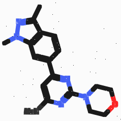 CNc1cc(-c2ccc3c(C)nn(C)c3c2)nc(N2CCOCC2)n1